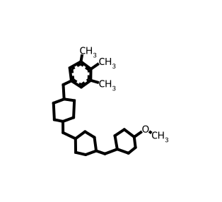 COC1CCC(CC2CCC(CC3CCC(Cc4cc(C)c(C)c(C)c4)CC3)CC2)CC1